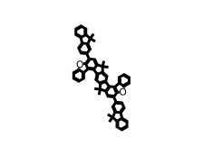 CC1(C)c2ccccc2-c2ccc(-c3cc4c(c5c3oc3ccccc35)-c3cc5c(cc3C4(C)C)-c3c(cc(-c4ccc6c(c4)C(C)(C)c4ccccc4-6)c4oc6ccccc6c34)C5(C)C)cc21